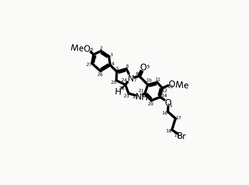 COc1ccc(C2=CN3C(=O)c4cc(OC)c(OCCCBr)cc4NC[C@@H]3C2)cc1